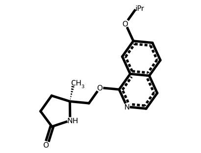 CC(C)Oc1ccc2ccnc(OC[C@]3(C)CCC(=O)N3)c2c1